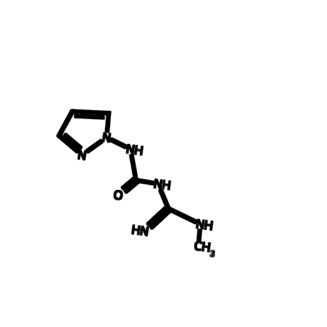 CNC(=N)NC(=O)Nn1cccn1